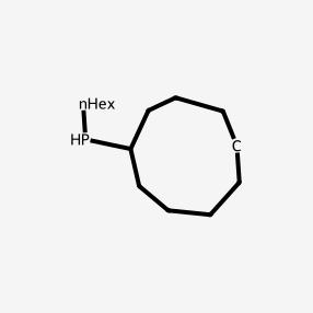 CCCCCCPC1CCCCCCCC1